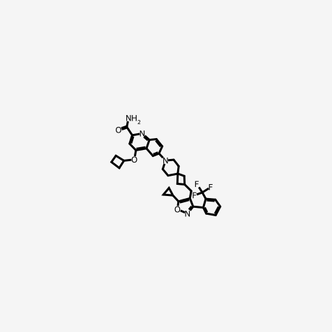 NC(=O)c1cc(OC2CCC2)c2cc(N3CCC4(CC3)CC(Cc3c(-c5ccccc5C(F)(F)F)noc3C3CC3)C4)ccc2n1